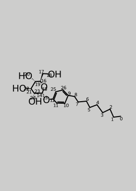 CCCCCCCCCc1ccc(O[C@H]2O[C@H](CO)[C@@H](O)[C@H](O)[C@H]2O)cc1